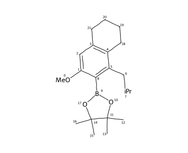 COc1cc2c(c(CC(C)C)c1B1OC(C)(C)C(C)(C)O1)CCCC2